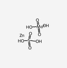 O=S(=O)(O)O.[O]=[Mo](=[O])([OH])[OH].[Zn]